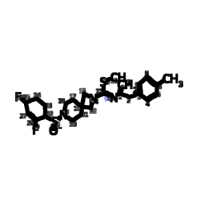 C=C(Cc1ccc(C)cc1)/N=C(\SC)N1CC2(CCN([S+]([O-])C3CCC(F)C=C3F)CC2)C1